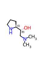 CN(C)C[C@@H](O)[C@@H]1CCCN1